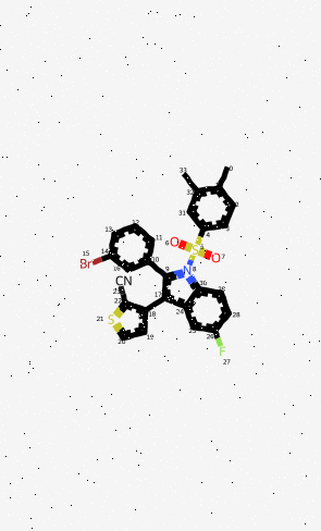 Cc1ccc(S(=O)(=O)n2c(-c3cccc(Br)c3)c(-c3ccsc3C#N)c3cc(F)ccc32)cc1C